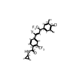 Cc1cc(C(/C=C(\F)c2ccc(C(=O)NC3CC3)c(C(F)(F)F)c2)C(F)(F)F)cc(C)c1Cl